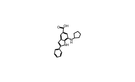 O=C(O)c1cc(NC2CCCC2)c2[nH]c(-c3ccccc3)cc2c1